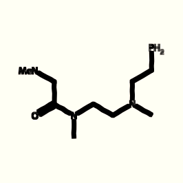 CNCC(=O)N(C)CCN(C)CCP